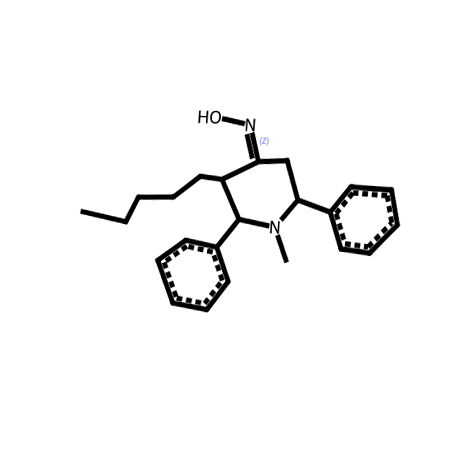 CCCCCC1/C(=N\O)CC(c2ccccc2)N(C)C1c1ccccc1